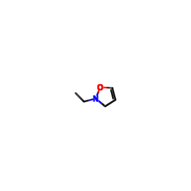 CCN1CC=CO1